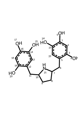 Oc1cc(O)c(CC2CCC(Cc3cc(O)c(O)cc3O)N2)cc1O